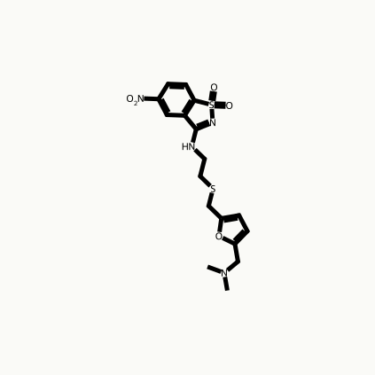 CN(C)Cc1ccc(CSCCNC2=NS(=O)(=O)c3ccc([N+](=O)[O-])cc32)o1